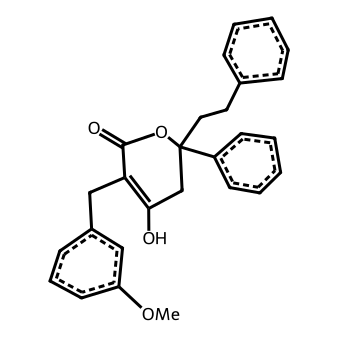 COc1cccc(CC2=C(O)CC(CCc3ccccc3)(c3ccccc3)OC2=O)c1